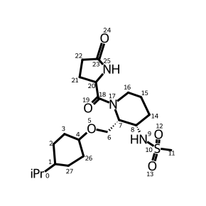 CC(C)C1CCC(OC[C@H]2[C@@H](NS(C)(=O)=O)CCCN2C(=O)C2CCC(=O)N2)CC1